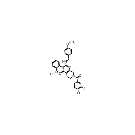 COc1ccc(CNc2nc3c(c(=O)n2-c2ccccc2OC)CCN(C(=O)c2ccc(Cl)c(Cl)c2)C3)cc1